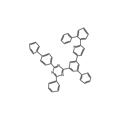 c1ccc(-c2ccc(-c3nc(-c4ccccc4)nc(-c4cc(-c5ccccc5)cc(-c5ccc(-c6ccccc6-c6ccccc6)nc5)c4)n3)cc2)cc1